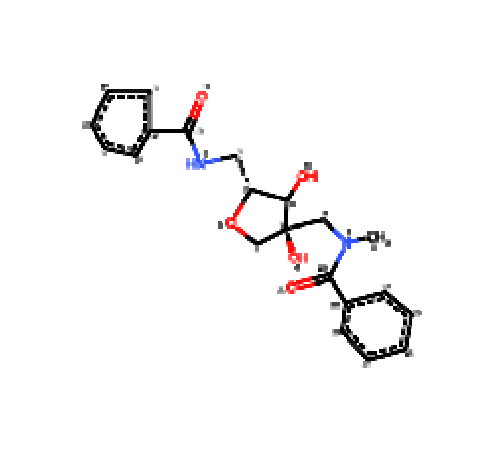 CN(C[C@]1(O)CO[C@H](CNC(=O)c2ccccc2)C1O)C(=O)c1ccccc1